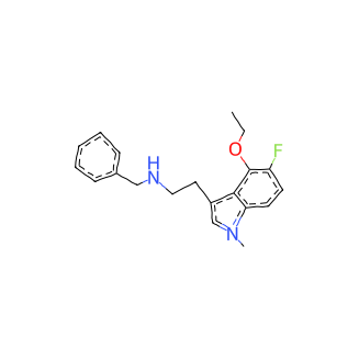 CCOc1c(F)ccc2c1c(CCNCc1ccccc1)cn2C